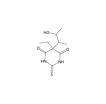 CCC1(C(C)C(C)O)C(=O)NC(=S)NC1=O